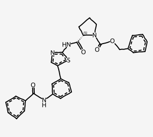 O=C(Nc1cccc(-c2cnc(NC(=O)[C@@H]3CCCN3C(=O)OCc3ccccc3)s2)c1)c1ccccc1